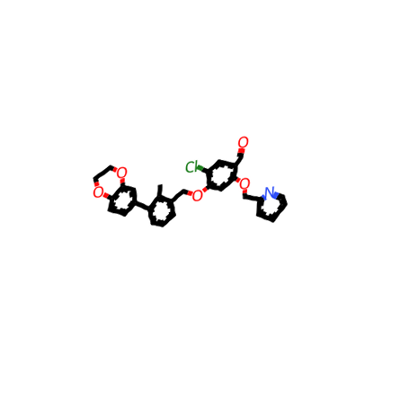 Cc1c(COc2cc(OCc3ccccn3)c(C=O)cc2Cl)cccc1-c1ccc2c(c1)OCCO2